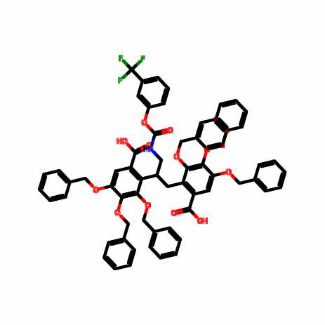 O=C(NCC(Cc1c(C(=O)O)cc(OCc2ccccc2)c(OCc2ccccc2)c1OCc1ccccc1)c1c(C(=O)O)cc(OCc2ccccc2)c(OCc2ccccc2)c1OCc1ccccc1)Oc1cccc(C(F)(F)F)c1